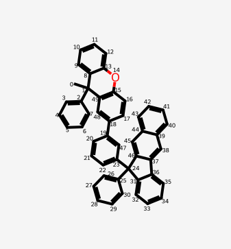 CC1(c2ccccc2)c2ccccc2Oc2ccc(-c3cccc(C4(c5ccccc5)c5ccccc5-c5cc6ccccc6cc54)c3)cc21